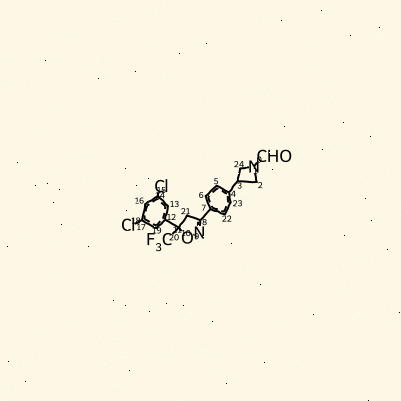 O=CN1CC(c2ccc(C3=NOC(c4cc(Cl)cc(Cl)c4)(C(F)(F)F)C3)cc2)C1